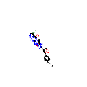 Cc1ccc([C@H]2C[C@H](c3noc(Cn4c(N)nn5ncc(Cl)c5c4=O)n3)CO2)cc1